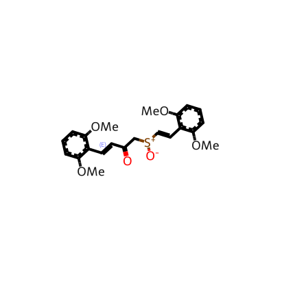 COc1cccc(OC)c1C=C[S+]([O-])CC(=O)/C=C/c1c(OC)cccc1OC